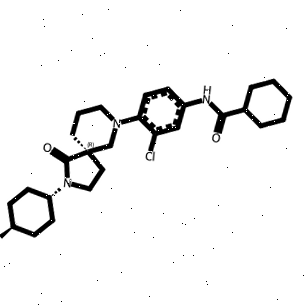 O=C(Nc1ccc(N2CCC[C@@]3(CCN([C@H]4CC[C@H](O)CC4)C3=O)C2)c(Cl)c1)C1CCCCC1